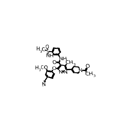 COc1cc(C#N)ccc1Oc1nnc(C2=CCN(C(C)=O)CC2)c(C)c1C(=O)Nc1cccc(S(C)(=N)=O)c1